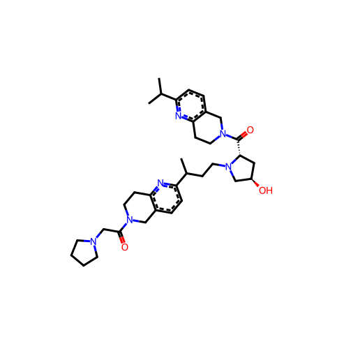 CC(C)c1ccc2c(n1)CCN(C(=O)[C@@H]1C[C@@H](O)CN1CCC(C)c1ccc3c(n1)CCN(C(=O)CN1CCCC1)C3)C2